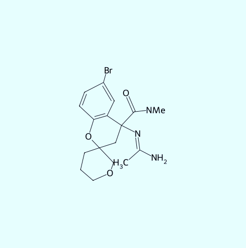 CNC(=O)C1(/N=C(\C)N)CC2(CCCOC2)Oc2ccc(Br)cc21